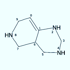 C1=C2NCNCC2CNC1